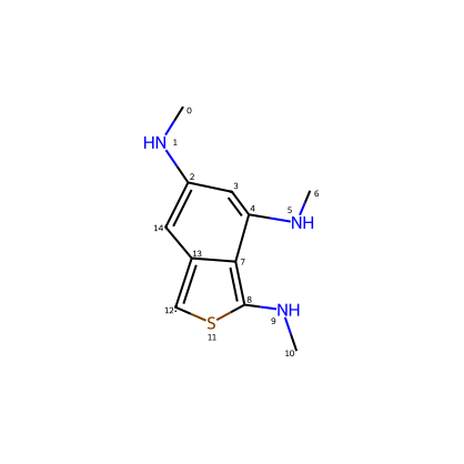 CNc1cc(NC)c2c(NC)s[c]c2c1